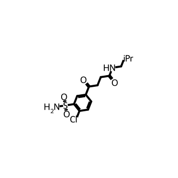 CC(C)CNC(=O)CCC(=O)c1ccc(Cl)c(S(N)(=O)=O)c1